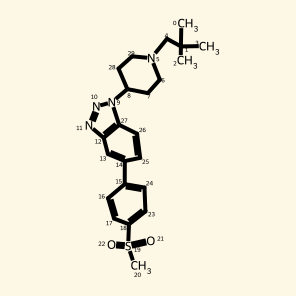 CC(C)(C)CN1CCC(n2nnc3cc(-c4ccc(S(C)(=O)=O)cc4)ccc32)CC1